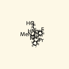 CNc1nc(-c2ccccc2C(C)C)n(Cc2ccc(F)cc2)c1C(=O)NCCCO